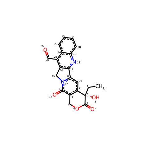 CC[C@@]1(O)C(=O)OCc2c1cc1n(c2=O)Cc2c-1nc1ccccc1c2C=O